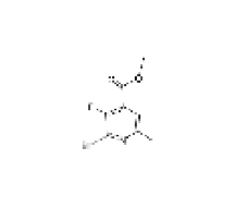 COC(=O)c1cc(C)nc(Br)c1F